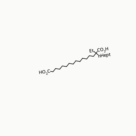 CCCCCCCC(CC)(CCCCCCCCCCCCCC(=O)O)C(=O)O